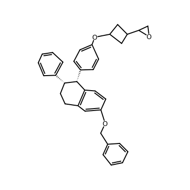 c1ccc(COc2ccc3c(c2)CC[C@H](c2ccccc2)[C@@H]3c2ccc(OC3CC(C4CO4)C3)cc2)cc1